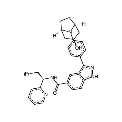 CC(C)C[C@@H](NC(=O)c1ccc2[nH]nc(-c3ccc(N4[C@@H]5CC[C@H]4C[C@@H](O)C5)cc3)c2c1)c1ccccn1